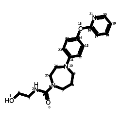 O=C(NCCO)N1CCCN(c2ccc(Oc3ccccn3)cc2)CC1